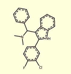 CN(C)C(c1ccccc1)c1c(-c2ccc(F)c(Cl)c2)[nH]c2ccccc12